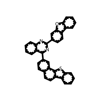 c1ccc2c(-c3ccc4ccc5c6ccccc6sc5c4c3)nc(-c3ccc4c(c3)oc3ccccc34)nc2c1